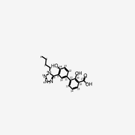 CCCCn1nnnc1-c1cc(-c2cccc(C(=O)O)c2O)ccc1O